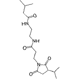 CC(C)CC(=O)NCCNC(=O)CCN1C(=O)CC(C(C)C)C1=O